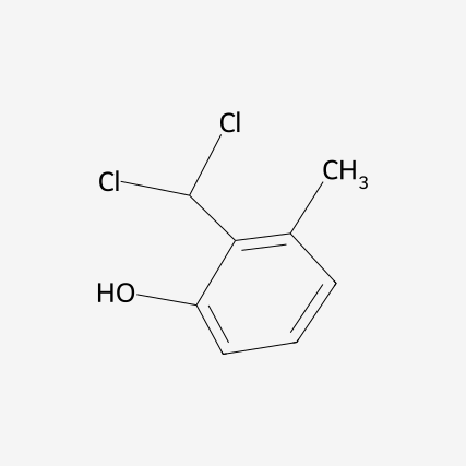 Cc1cccc(O)c1C(Cl)Cl